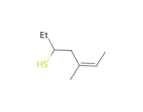 C/C=C(/C)CC(S)CC